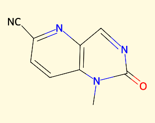 Cn1c(=O)ncc2nc(C#N)ccc21